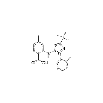 Cc1ccc(C(=O)O)c(Nc2cc(C(C)(C)C)nn2-c2ccccc2C)c1